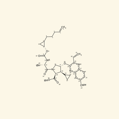 C=CCCCC1C[C@H]1OC(=O)N[C@H](C(=O)N1C[C@H](Oc2nc3cc(OC)ccc3nc2C=C)[C@@H](C2CC2)[C@H]1C(=O)OC)C(C)(C)C